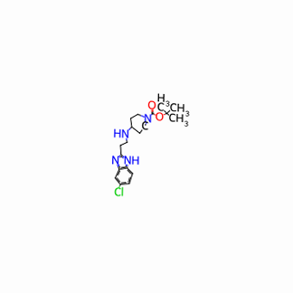 CC(C)(C)OC(=O)N1CCC(NCCc2nc3cc(Cl)ccc3[nH]2)CC1